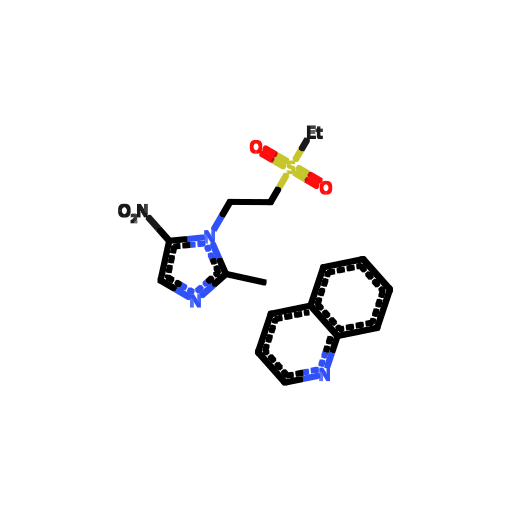 CCS(=O)(=O)CCn1c([N+](=O)[O-])cnc1C.c1ccc2ncccc2c1